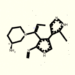 C=Nc1[nH]cc(-c2cn[nH]c2C)c1/C(=C\C)N1CCC[C@H](N)C1